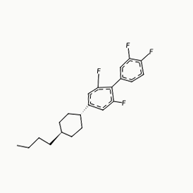 CCCC[C@H]1CC[C@H](c2cc(F)c(-c3ccc(F)c(F)c3)c(F)c2)CC1